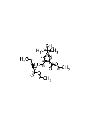 CCC#CC(=O)OCC.CCOC(=O)c1nn(C(C)(C)C)cc1CC